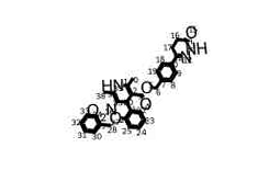 CC1=C(C(=O)OCc2ccc(C3=NNC(=O)CC3)cc2)C(c2ccccc2OCc2ccccc2)C([N+](=O)[O-])=C(C)N1